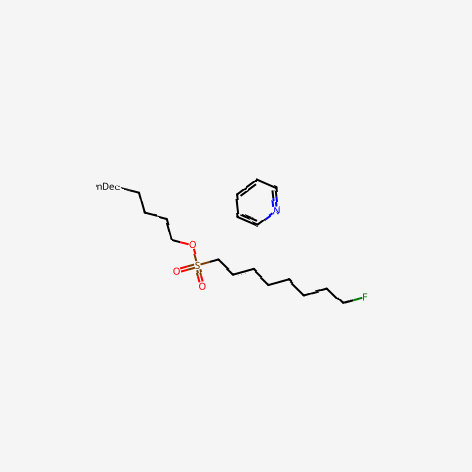 CCCCCCCCCCCCCCOS(=O)(=O)CCCCCCCCF.c1ccncc1